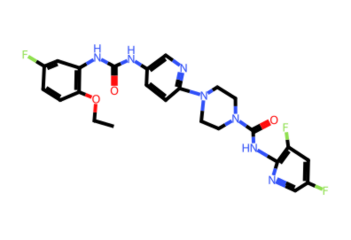 CCOc1ccc(F)cc1NC(=O)Nc1ccc(N2CCN(C(=O)Nc3ncc(F)cc3F)CC2)nc1